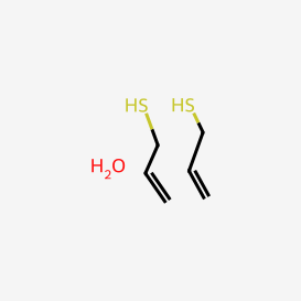 C=CCS.C=CCS.O